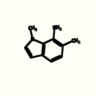 Cc1ccc2ccn(C)c2c1N